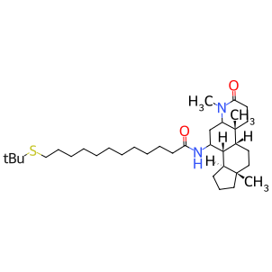 CN1C(=O)CC[C@@]2(C)C1CC(NC(=O)CCCCCCCCCCCSC(C)(C)C)[C@@H]1[C@H]2CC[C@]2(C)CCC[C@@H]12